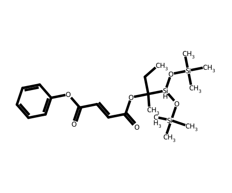 CCC(C)(OC(=O)C=CC(=O)Oc1ccccc1)[SiH](O[Si](C)(C)C)O[Si](C)(C)C